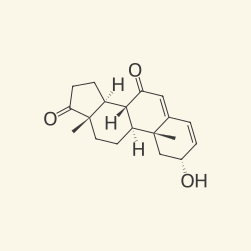 C[C@]12C[C@@H](O)C=CC1=CC(=O)[C@@H]1[C@@H]2CC[C@]2(C)C(=O)CC[C@@H]12